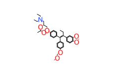 CCC(=C(c1ccc(OCOC)cc1)c1ccc(OCC(CN(CC)CC)OC(C)=O)cc1)c1ccc2c(c1)OCO2